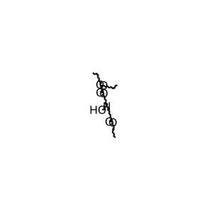 CC/C=C\CCCCOC(CCC(=O)OCCCCCCN(CCO)CCCCCCCC(=O)OCCC#CCCCC)OCCCC/C=C\CC